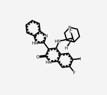 O=c1[nH]c2cc(F)c(I)cc2c(N[C@@H]2CN3CCC2CC3)c1-c1nc2ccccc2[nH]1